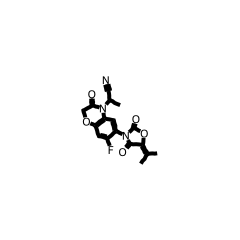 CC(C)=C1OC(=O)N(c2cc3c(cc2F)OCC(=O)N3C(C)C#N)C1=O